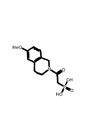 COc1ccc2c(c1)CCN(C(=O)CP(=O)(O)O)C2